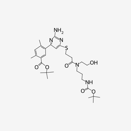 Cc1cc(C)c(-c2cc(SCCC(=O)N(CCO)CCCNC(=O)OC(C)(C)C)nc(N)n2)cc1C(=O)OC(C)(C)C